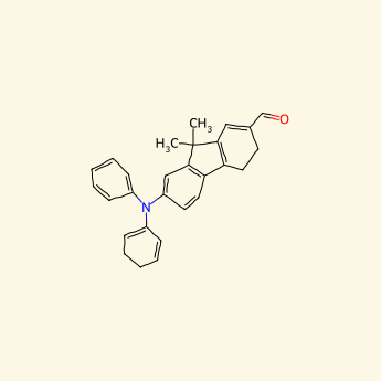 CC1(C)C2=C(CCC(C=O)=C2)c2ccc(N(C3=CCCC=C3)c3ccccc3)cc21